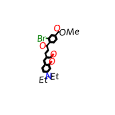 CCN(CC)c1ccc2cc(/C=C/C(=O)c3ccc(C(=O)OC)cc3Br)c(=O)oc2c1